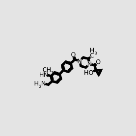 CNc1cc(-c2ccc(C(=O)N3CCN(C(=O)C4(O)CC4)C(C)C3)cc2)ccc1CN